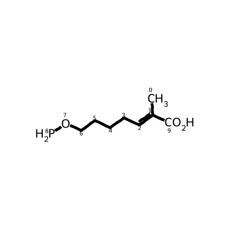 CC(=CCCCCOP)C(=O)O